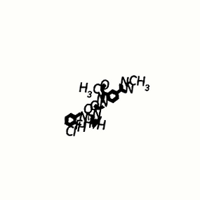 CC(=O)c1nn(CC(=O)N2C[C@H]3C[C@H]3[C@H]2C(=O)NCc2cccc(Cl)c2F)c2ccc(-c3cnc(C)nc3)cc12